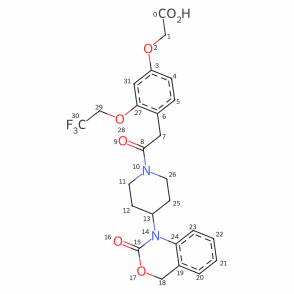 O=C(O)COc1ccc(CC(=O)N2CCC(N3C(=O)OCc4ccccc43)CC2)c(OCC(F)(F)F)c1